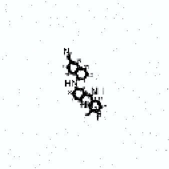 Cc1cc(C(=N)c2cc(NC3CCCc4cc(C#N)ccc43)ccc2N)ccc1F